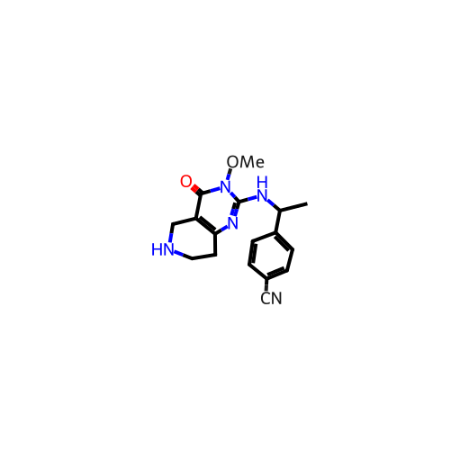 COn1c(NC(C)c2ccc(C#N)cc2)nc2c(c1=O)CNCC2